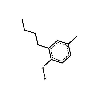 CCCCc1cc(C)ccc1SF